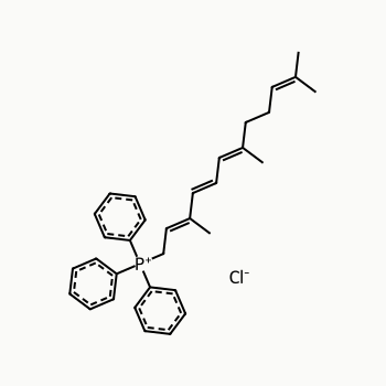 CC(C)=CCC/C(C)=C/C=C/C(C)=C/C[P+](c1ccccc1)(c1ccccc1)c1ccccc1.[Cl-]